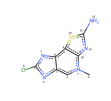 Cn1cc2nc(Cl)nc-2c2sc(N)nc21